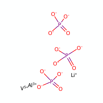 O=P([O-])([O-])[O-].O=P([O-])([O-])[O-].O=P([O-])([O-])[O-].[Al+3].[Li+].[V+5]